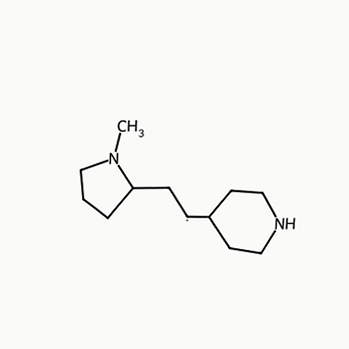 CN1CCCC1C[CH]C1CCNCC1